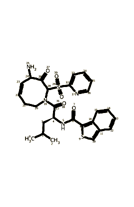 CC(C)C[C@H](NC(=O)c1scc2ccccc12)C(=O)N1CCC=CC(N)C(=O)C1S(=O)(=O)c1ccccn1